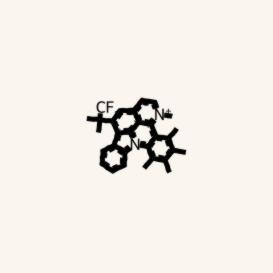 Cc1c(C)c(C)c2c(c1C)c1c3c(cc[n+]1C)cc(C(C)(C)C(F)(F)F)c1c4ccccc4n2c13